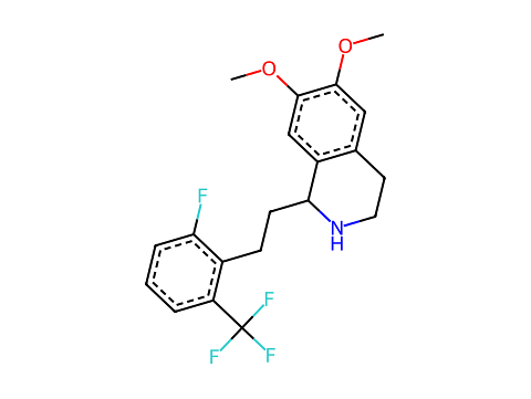 COc1cc2c(cc1OC)C(CCc1c(F)cccc1C(F)(F)F)NCC2